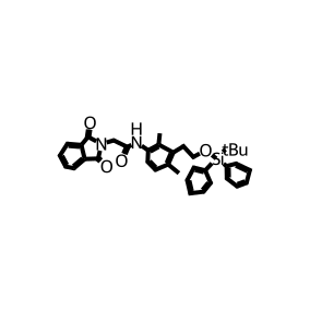 Cc1ccc(NC(=O)CN2C(=O)c3ccccc3C2=O)c(C)c1CCO[Si](c1ccccc1)(c1ccccc1)C(C)(C)C